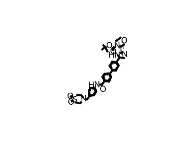 CC(C)(C)OC(=O)N1CCOC[C@H]1C1=NCC(c2ccc(-c3ccc(C(=O)Nc4ccc(CN5CCS(=O)(=O)CC5)cc4)cc3)cc2)N1